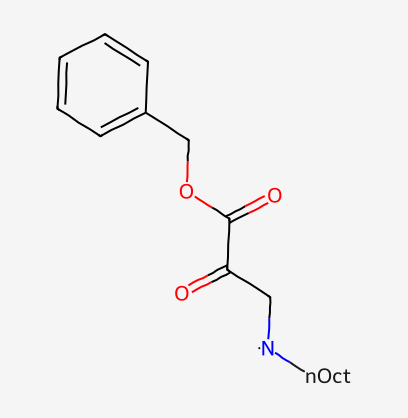 CCCCCCCC[N]CC(=O)C(=O)OCc1ccccc1